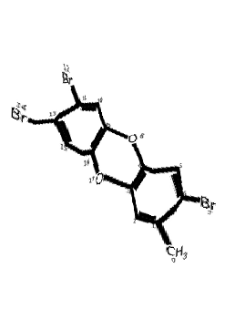 Cc1cc2c(cc1Br)Oc1cc(Br)c(Br)cc1O2